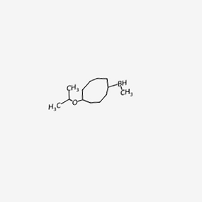 CBC1CCCCC(OC(C)C)CCC1